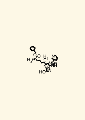 CC(CCCN(C)C(=O)OCc1ccccc1)c1cc(NS(=O)(=O)c2cccnc2)n2ncc(O)c2n1